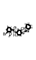 COc1c(Br)cccc1C(=O)Nc1ccc(Sc2nc3ccccc3s2)c(Cl)c1